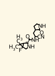 CC1(C)C2[C@@H](C(=O)NC(C#N)CC3CCNC3=O)NCC21F